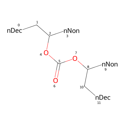 CCCCCCCCCCCC(CCCCCCCCC)OC(=O)OC(CCCCCCCCC)CCCCCCCCCCC